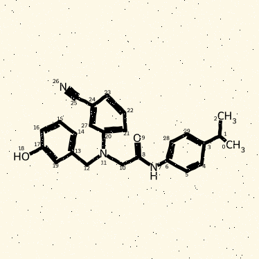 CC(C)c1ccc(NC(=O)CN(Cc2cccc(O)c2)c2cccc(C#N)c2)cc1